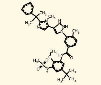 COc1c(NC(=O)c2ccc(C)c(N3C=C(c4cnc(C(C)(C)c5ccccc5)n4C)NN3)c2)cc(C(C)(C)C)cc1NS(C)(=O)=O